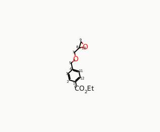 CCOC(=O)c1ccc(COCC2CO2)cc1